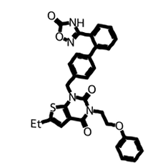 CCc1cc2c(=O)n(CCOc3ccccc3)c(=O)n(Cc3ccc(-c4ccccc4-c4noc(=O)[nH]4)cc3)c2s1